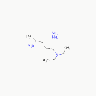 CCN(CC)CCCC(C)N.N.N